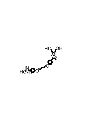 Cc1sc(N(CCO)CCO)nc1-c1ccc(OCCCCCOc2ccc(C(=N)NO)cc2)cc1